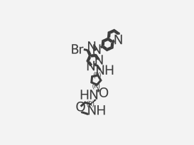 O=C(NC[C@@H]1COCCN1)[C@@H]1CC[C@@H](Nc2ncc3c(Br)nn(-c4ccc5ncccc5c4)c3n2)C1